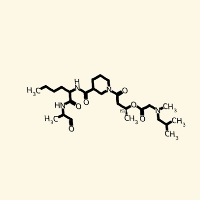 CCCCC(NC(=O)C1CCCN(C(=O)C[C@H](C)OC(=O)CN(C)CC(C)C)C1)C(=O)NC(C)C=O